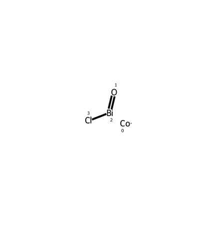 [Co].[O]=[Bi][Cl]